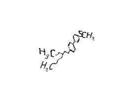 CCCCC(CCC)CCc1ccc(-c2ccc(SC)cc2)cc1